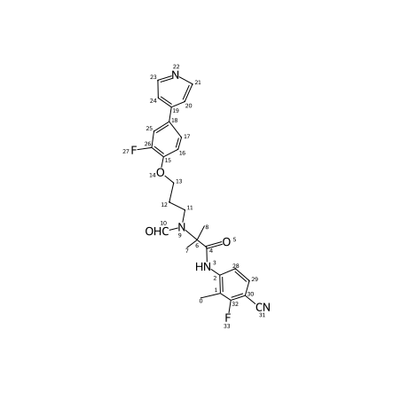 Cc1c(NC(=O)C(C)(C)N(C=O)CCCOc2ccc(-c3ccncc3)cc2F)ccc(C#N)c1F